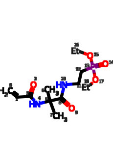 C=CC(=O)NC(C)(C)C(=O)NCCP(=O)(OCC)OCC